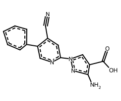 N#Cc1cc(-n2cc(C(=O)O)c(N)n2)ncc1-c1ccccc1